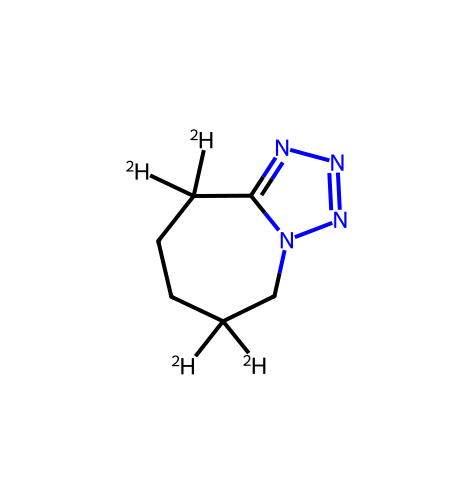 [2H]C1([2H])CCC([2H])([2H])c2nnnn2C1